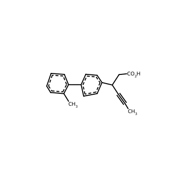 CC#CC(CC(=O)O)c1ccc(-c2ccccc2C)cc1